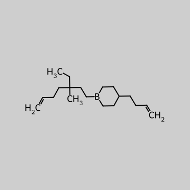 C=CCCC1CCB(CCC(C)(CC)CCC=C)CC1